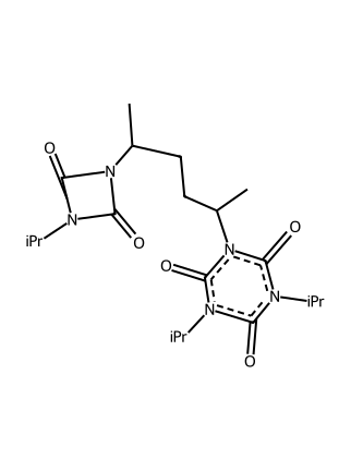 CC(C)N1C(=O)N(C(C)CCC(C)n2c(=O)n(C(C)C)c(=O)n(C(C)C)c2=O)C1=O